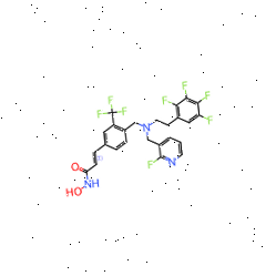 O=C(/C=C/c1ccc(CN(CCc2cc(F)c(F)c(F)c2F)Cc2cccnc2F)c(C(F)(F)F)c1)NO